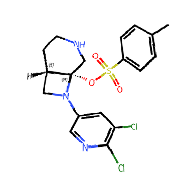 Cc1ccc(S(=O)(=O)O[C@@]23CNCC[C@H]2CN3c2cnc(Cl)c(Cl)c2)cc1